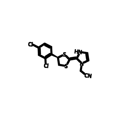 N#CCN1C=CN/C1=C1/SC[C@@H](c2ccc(Cl)cc2Cl)S1